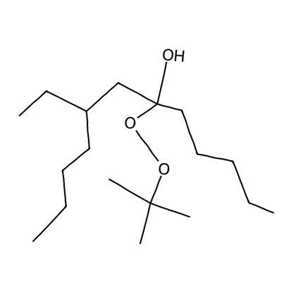 CCCCCC(O)(CC(CC)CCCC)OOC(C)(C)C